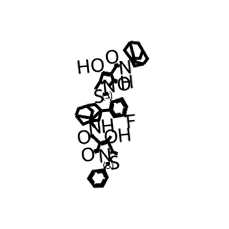 O=C(NC12CC3CC(C1)CC(c1cc(F)ccc1[C@@H]1SCC4C(O)=C(C(=O)NC56CC7CC(CC(C7)C5)C6)C(=O)N41)(C3)C2)C1=C(O)C2CS[C@@H](c3ccccc3)N2C1=O